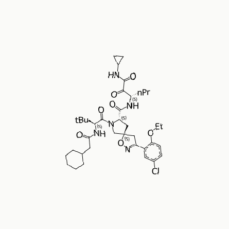 CCC[C@H](NC(=O)[C@@H]1C[C@]2(CC(c3cc(Cl)ccc3OCC)=NO2)CN1C(=O)[C@@H](NC(=O)CC1CCCCC1)C(C)(C)C)C(=O)C(=O)NC1CC1